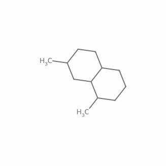 CC1CCC2CCCC(C)C2C1